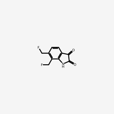 O=C1Nc2c(ccc(CF)c2CF)C1=O